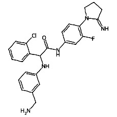 N=C1CCCN1c1ccc(NC(=O)C(Nc2cccc(CN)c2)c2ccccc2Cl)cc1F